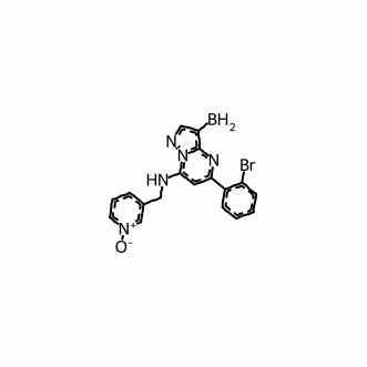 Bc1cnn2c(NCc3ccc[n+]([O-])c3)cc(-c3ccccc3Br)nc12